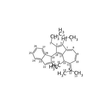 CCC1=[C]([Hf]([CH3])[CH3])C2=CC=CC(=[Si](C)C)C(C)C2=C1C1C(C)=Cc2ccccc21